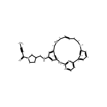 CC#CC(=O)N1CCC(CNc2cc3cc(c2)Nc2nccc(n2)-c2cccc(c2)OCC/C=C/CNC3)C1